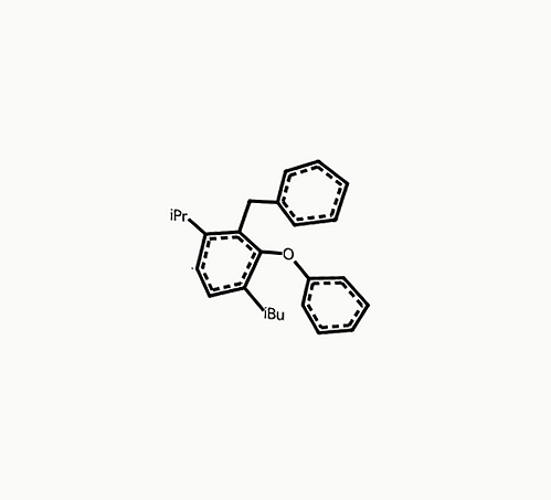 CCC(C)c1c[c]c(C(C)C)c(Cc2ccccc2)c1Oc1ccccc1